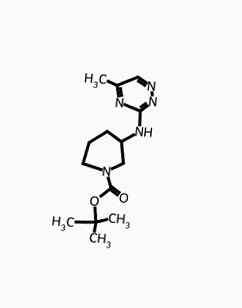 Cc1cnnc(NC2CCCN(C(=O)OC(C)(C)C)C2)n1